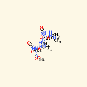 CCc1c(N2CCN(C(=O)OC(C)(C)C)CC2)c(=O)n2nc(C3=CCOCC3)nc2n1CC(=O)Nc1ccc(C(F)(F)F)nc1C.CCc1c(N2CCNCC2)c(=O)n2nc(C3=CCOCC3)nc2n1CC(=O)Nc1ccc(C(F)(F)F)nc1C